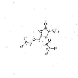 CC1C(=O)O[C@H](COSP(I)I)[C@H]1OSP(I)I